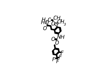 COc1ccc(NC(=O)OCc2ccc(C(F)(F)F)c(F)c2)cc1CC(OC(C)C)C(=O)O